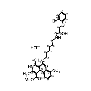 COC(=O)C1=C(C)NC(C)=C(C(=O)OCCCCCCNCC(O)COc2ccccc2Cl)C1c1cccc([N+](=O)[O-])c1.Cl